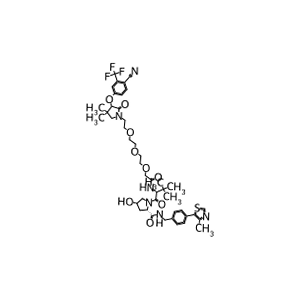 Cc1ncsc1-c1ccc(CNC(=O)[C@@H]2C[C@@H](O)CN2C(=O)[C@@H](NC(=O)COCCOCCOCCN2CC(C)(C)C(Oc3ccc(C#N)c(C(F)(F)F)c3)C2=O)C(C)(C)C)cc1